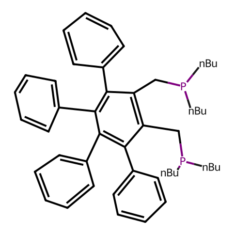 CCCCP(CCCC)Cc1c(CP(CCCC)CCCC)c(-c2ccccc2)c(-c2ccccc2)c(-c2ccccc2)c1-c1ccccc1